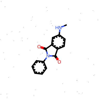 CNc1ccc2c(c1)C(=O)N(c1ccccc1)C2=O